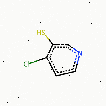 Sc1cnccc1Cl